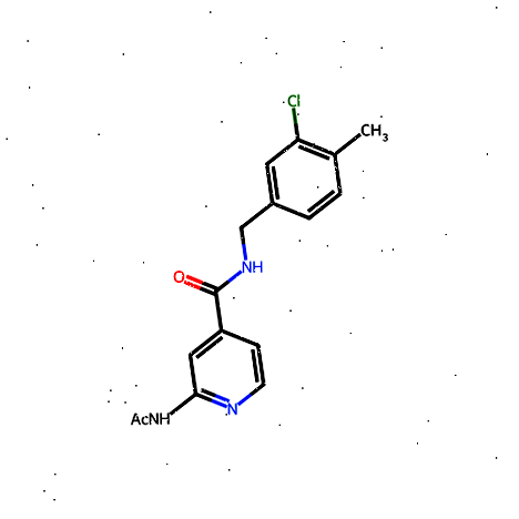 CC(=O)Nc1cc(C(=O)NCc2ccc(C)c(Cl)c2)ccn1